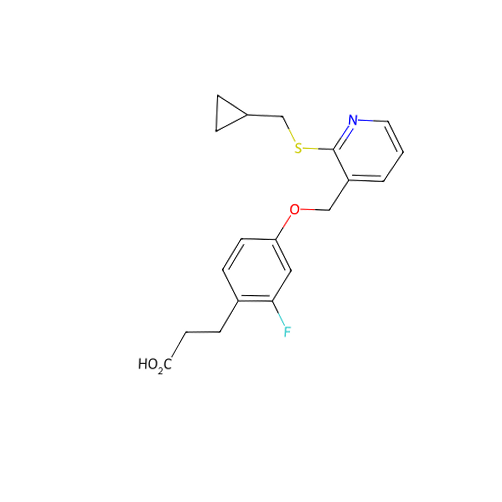 O=C(O)CCc1ccc(OCc2cccnc2SCC2CC2)cc1F